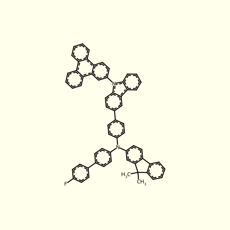 CC1(C)c2ccccc2-c2ccc(N(c3ccc(-c4ccc(F)cc4)cc3)c3ccc(-c4ccc5c(c4)c4ccccc4n5-c4ccc5c6ccccc6c6ccccc6c5c4)cc3)cc21